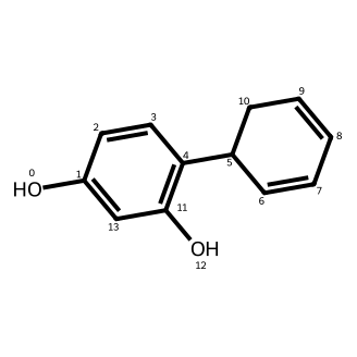 Oc1ccc(C2C=CC=CC2)c(O)c1